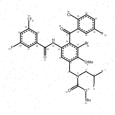 COc1c(CN(CC(F)F)C(=O)OC(C)(C)C)cc(NC(=O)c2cc(F)cc(C(F)(F)F)c2)c(C(=O)c2cc(F)ccc2Cl)c1Br